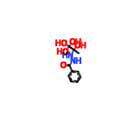 CC(O)(NNC(=O)c1ccccc1)C(O)(O)O